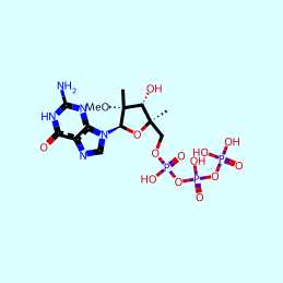 CO[C@@]1(C)[C@H](n2cnc3c(=O)[nH]c(N)nc32)O[C@](C)(COP(=O)(O)OP(=O)(O)OP(=O)(O)O)[C@H]1O